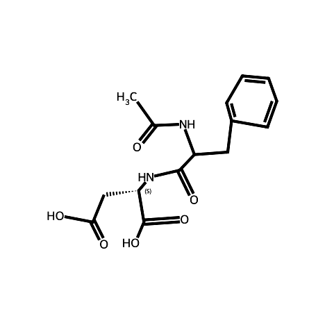 CC(=O)NC(Cc1ccccc1)C(=O)N[C@@H](CC(=O)O)C(=O)O